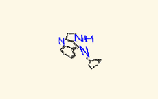 C(=Nc1c2c(nc3ccccc13)CCN2)c1ccccc1